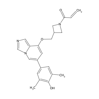 C=CC(=O)N1CC(COc2cc(-c3cc(C)c(O)c(C)c3)cn3cncc23)C1